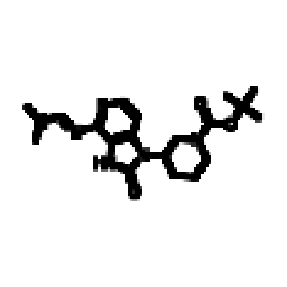 CN(C)C=Nc1nccc2c1[nH]c(=O)n2[C@@H]1CCCN(C(=O)OC(C)(C)C)C1